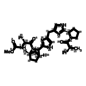 COC(=O)N[C@H](C(=O)N1C(c2nc(Cc3c[nH]c([C@@H]4CCCN4C(=O)[C@@H](C)C(C)C)n3)c[nH]2)[C@H]2CC[C@@H]1C2)C(C)C